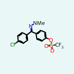 CNN=C(c1ccc(Cl)cc1)c1ccc(OS(=O)(=O)C(F)(F)F)cc1